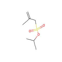 C=C(C)CS(=O)(=O)OC(C)C